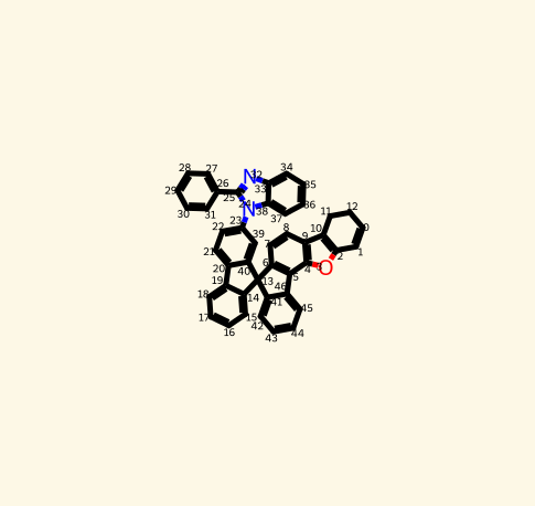 C1=Cc2oc3c4c(ccc3c2CC1)C1(c2ccccc2-c2ccc(-n3c(-c5ccccc5)nc5ccccc53)cc21)c1ccccc1-4